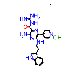 Cl.N=C(N)NC(=O)c1nc(-c2ccncc2)c(NCCc2c[nH]c3ccccc23)nc1N